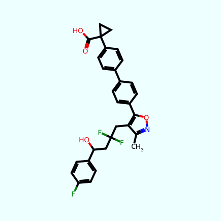 Cc1noc(-c2ccc(-c3ccc(C4(C(=O)O)CC4)cc3)cc2)c1CC(F)(F)CC(O)c1ccc(F)cc1